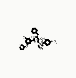 CC(C)CN(C[C@@H](O)[C@H](Cc1ccccc1)NC(=O)c1cc(Cl)cc(O[C@H]2CCOC2)c1)S(=O)(=O)c1ccc([N+](=O)[O-])cc1